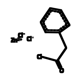 O=C(Cl)Cc1ccccc1.[Cl-].[Cl-].[Zn+2]